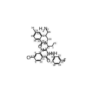 CCC(c1nc2cc(Cl)ccc2c(=O)n1Nc1cccc(F)c1)N(CCCN)C(=O)c1ccc(C)cc1